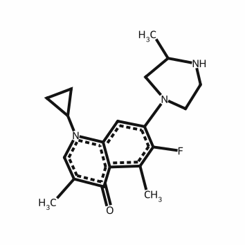 Cc1cn(C2CC2)c2cc(N3CCNC(C)C3)c(F)c(C)c2c1=O